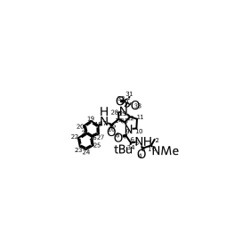 CNC(C)C(=O)NC(C(=O)N1CCC2C1C(C(=O)Nc1ccc3ccccc3c1)CN2S(C)(=O)=O)C(C)(C)C